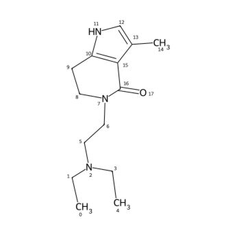 CCN(CC)CCN1CCc2[nH]cc(C)c2C1=O